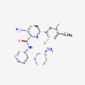 COc1cc(F)c(-c2ccc(N)c(C(=O)Nc3cnccc3N3CCC[C@H](N)C3)n2)cc1F